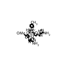 COCC1OC(n2cnc3c(N)ncnc32)CC1OP(N[S+]([O-])c1ccc(C)cc1)OCC1OC(n2cnc3c(N)ncnc32)CC1OC